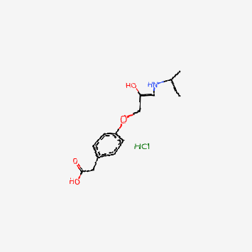 CC(C)NCC(O)COc1ccc(CC(=O)O)cc1.Cl